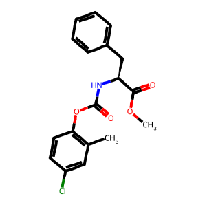 COC(=O)[C@H](Cc1ccccc1)NC(=O)Oc1ccc(Cl)cc1C